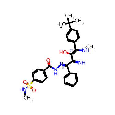 CN/C(=C(/O)C(=N)/C(=N/NC(=O)c1ccc(S(=O)(=O)NC)cc1)c1ccccc1)c1ccc(C(C)(C)C)cc1